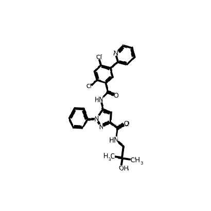 CC(C)(O)CNC(=O)c1cc(NC(=O)c2cc(-c3ccccn3)c(Cl)cc2Cl)n(-c2ccccc2)n1